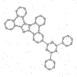 c1ccc(-c2nc(-c3ccccc3)nc(-c3ccc4c(c3)c3ccccc3n3c4nc4c5ccccc5c5ccccc5c43)n2)cc1